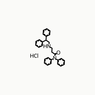 Cl.O=C(CCNCC(c1ccccc1)c1ccccc1)N(c1ccccc1)c1ccccc1